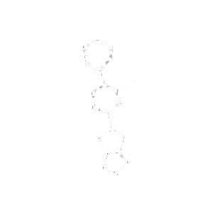 Oc1cc(N2CC3=CNCC3C2)ccc1-c1ccccc1